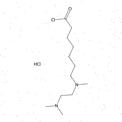 CN(C)CCN(C)CCCCCCC(=O)Cl.Cl